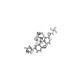 CC(C)(C)COc1ccc2c(c1)[C@@]1(COC(N)=N1)c1cc(-c3cncs3)ccc1O2